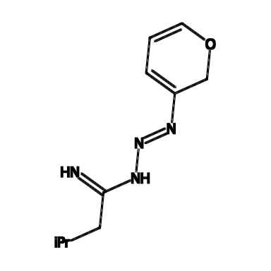 CC(C)CC(=N)NN=NC1=CC=COC1